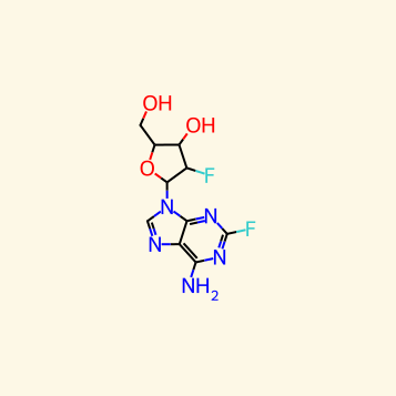 Nc1nc(F)nc2c1ncn2C1OC(CO)C(O)C1F